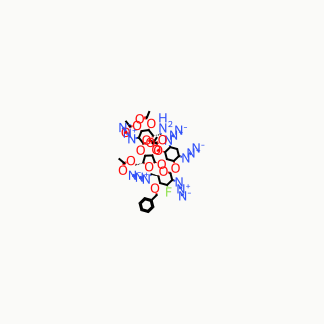 CC(=O)OC[C@H]1O[C@@H](O[C@H]2[C@H](OC3O[C@H](CN=[N+]=[N-])[C@@H](OCc4ccccc4)[C@H](F)C3N=[N+]=[N-])C(N=[N+]=[N-])CC(N=[N+]=[N-])[C@@H]2OC(C)=O)[C@H](OC(C)=O)[C@@H]1O[C@H]1O[C@@H](CN)[C@@H](OC(C)=O)[C@H](OC(C)=O)C1N=[N+]=[N-]